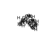 Cc1sc(C)c(CC2=NCCN2)c1C.Cc1sc(C)c(Cc2ncc[nH]2)c1C.c1csc(CC2=NCCN2)c1.c1csc(Cc2ncc[nH]2)c1